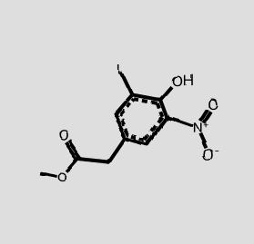 COC(=O)Cc1cc(I)c(O)c([N+](=O)[O-])c1